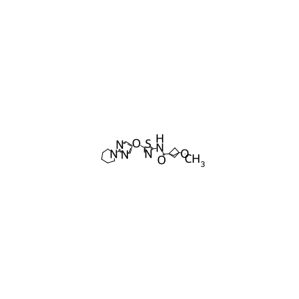 COC12CC(C(=O)Nc3ncc(Oc4cnc(N5CCCCC5)nc4)s3)(C1)C2